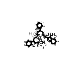 Cc1c(C(C)(C)CCc2c(C(C)(C)CCc3c(C(C)(C)C)oc4ccccc34)sc3ccccc23)sc2ccccc12